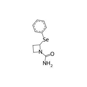 NC(=O)N1CCC1[Se]c1ccccc1